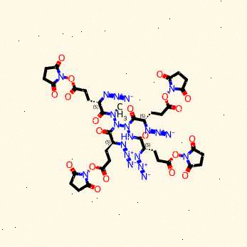 CN(C(=O)[C@H](CCC(=O)ON1C(=O)CCC1=O)N=[N+]=[N-])N(C(=O)[C@H](CCC(=O)ON1C(=O)CCC1=O)N=[N+]=[N-])N(NC(=O)[C@H](CCC(=O)ON1C(=O)CCC1=O)N=[N+]=[N-])C(=O)[C@H](CCC(=O)ON1C(=O)CCC1=O)N=[N+]=[N-]